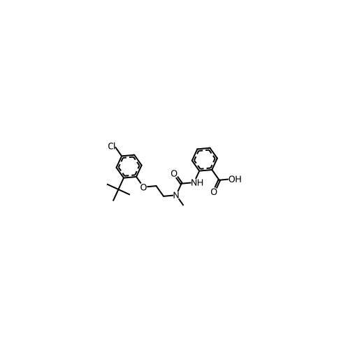 CN(CCOc1ccc(Cl)cc1C(C)(C)C)C(=O)Nc1ccccc1C(=O)O